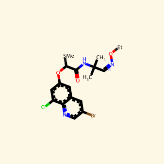 CCO/N=C\C(C)(C)NC(=O)C(Oc1cc(Cl)c2ncc(Br)cc2c1)SC